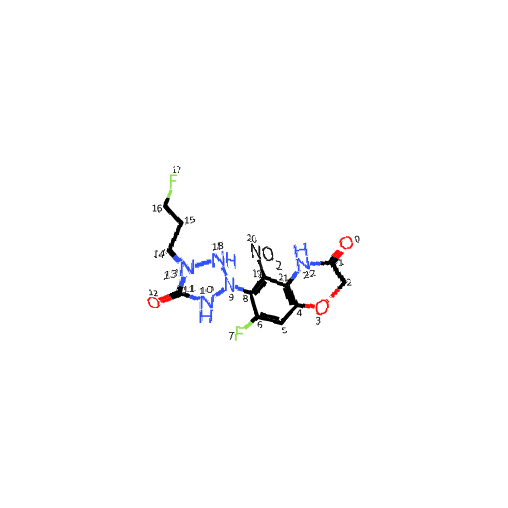 O=C1COc2cc(F)c(N3NC(=O)N(CCCF)N3)c([N+](=O)[O-])c2N1